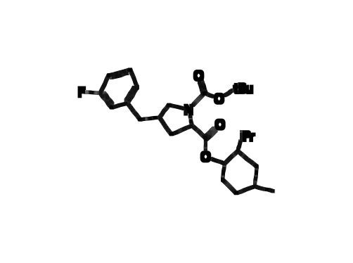 CC1CCC(OC(=O)C2CC(Cc3cccc(F)c3)CN2C(=O)OC(C)(C)C)C(C(C)C)C1